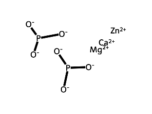 [Ca+2].[Mg+2].[O-]P([O-])[O-].[O-]P([O-])[O-].[Zn+2]